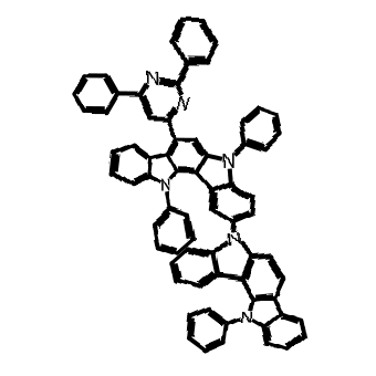 c1ccc(-c2cc(-c3cc4c(c5cc(-n6c7ccccc7c7c6ccc6c8ccccc8n(-c8ccccc8)c67)ccc5n4-c4ccccc4)c4c3c3ccccc3n4-c3ccccc3)nc(-c3ccccc3)n2)cc1